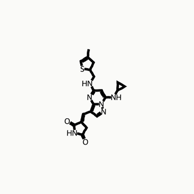 CC1=CSC(CNc2cc(NC3CC3)n3ncc(/C=C4\CC(=O)NC4=O)c3n2)C1